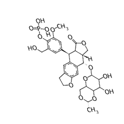 COc1cc([C@@H]2c3cc4c(cc3[C@@H](OC3OC5CO[C@@H](C)OC5C(O)C3O)[C@H]3COC(=O)C23)OCC4)cc(CO)c1OP(=O)(O)O